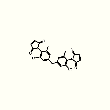 CCc1cc(Cc2cc(C)c(N3C(=O)C=CC3=O)c(CC)c2)cc(C)c1N1C(=O)C=CC1=O